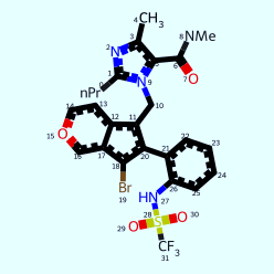 CCCc1nc(C)c(C(=O)NC)n1Cc1c2ccocc-2c(Br)c1-c1ccccc1NS(=O)(=O)C(F)(F)F